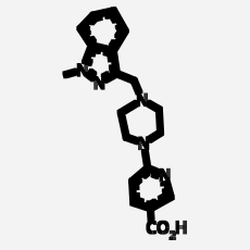 Cn1nc(CN2CCN(c3ccc(C(=O)O)cn3)CC2)c2ccccc21